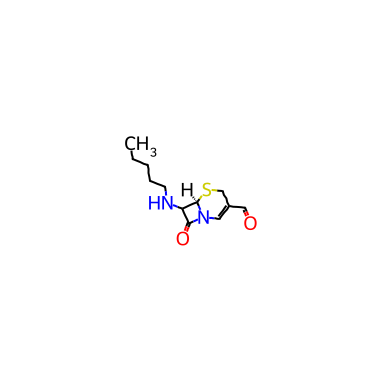 CCCCCNC1C(=O)N2C=C(C=O)CS[C@H]12